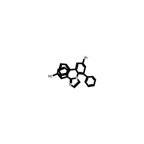 CC(C)c1cc(-c2ccccc2)c(-n2ccnc2-c2cccc(C#N)c2)c(-c2ccccc2)c1